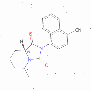 CC1CCC[C@@H]2C(=O)N(c3ccc(C#N)c4ccccc34)C(=O)N12